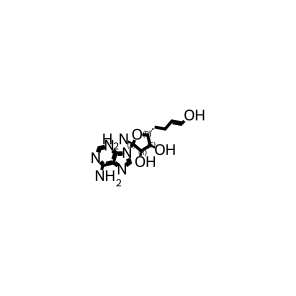 Nc1ncnc2c1ncn2[C@]1(N)O[C@H](CCC=CO)[C@@H](O)[C@H]1O